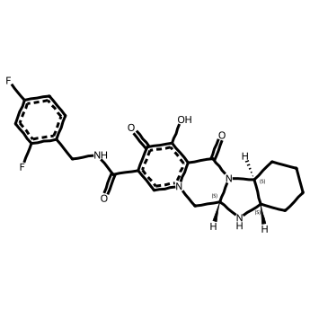 O=C(NCc1ccc(F)cc1F)c1cn2c(c(O)c1=O)C(=O)N1[C@@H](C2)N[C@H]2CCCC[C@@H]21